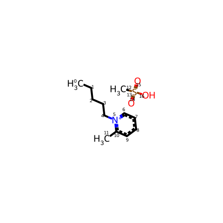 CCCCC[n+]1ccccc1C.CS(=O)(=O)O